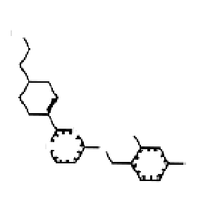 OCCC1CC=C(c2nccc(OCc3ccc(Cl)cc3F)n2)CC1